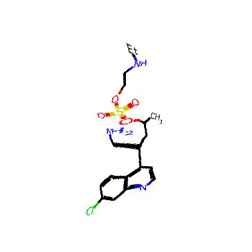 CCNCCOS(=O)(=O)OC(C)CC(CN)c1ccnc2cc(Cl)ccc12